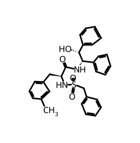 Cc1cccc(C[C@H](NS(=O)(=O)Cc2ccccc2)C(=O)N[C@@H](c2ccccc2)[C@H](O)c2ccccc2)c1